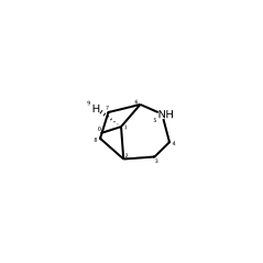 C[C@@H]1C2CCNC1CC2